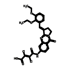 CCOc1cccc(C=C2CCn3c2nc2cc(NC(=O)C(Cl)=C(Cl)C(=O)O)ccc2c3=O)c1OCC